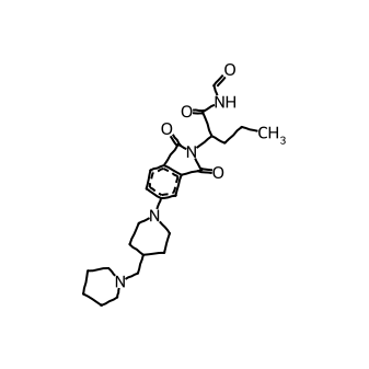 CCCC(C(=O)NC=O)N1C(=O)c2ccc(N3CCC(CN4CCCCC4)CC3)cc2C1=O